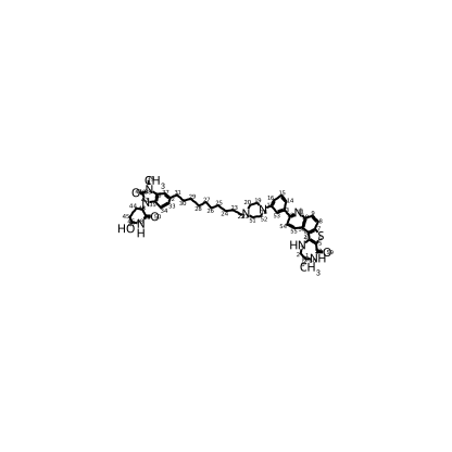 C[C@@H]1CNc2c(sc3ccc4nc(-c5cccc(N6CCN(CCCCCCCCCCc7ccc8c(c7)n(C)c(=O)n8C7CCC(O)NC7=O)CC6)c5)ccc4c23)C(=O)N1